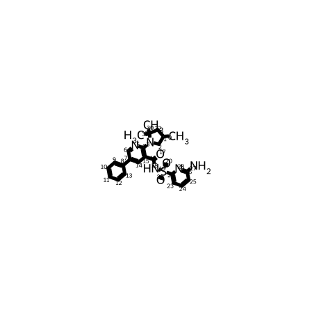 CC1CN(c2ncc(-c3ccccc3)cc2C(=O)NS(=O)(=O)c2cccc(N)n2)C(C)(C)C1